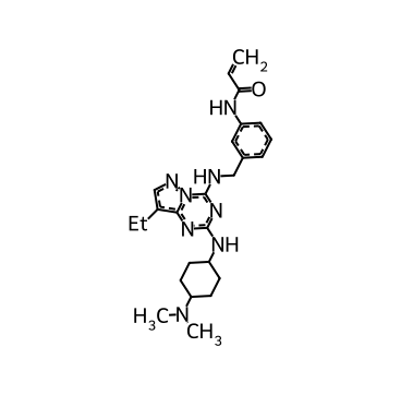 C=CC(=O)Nc1cccc(CNc2nc(NC3CCC(N(C)C)CC3)nc3c(CC)cnn23)c1